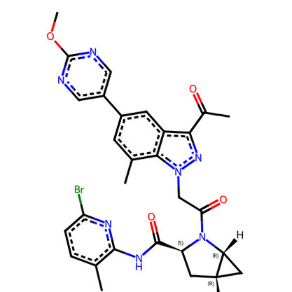 COc1ncc(-c2cc(C)c3c(c2)c(C(C)=O)nn3CC(=O)N2[C@H](C(=O)Nc3nc(Br)ccc3C)C[C@@]3(C)C[C@@H]23)cn1